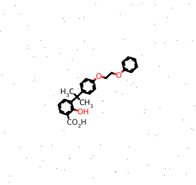 CC(C)(c1ccc(OCCOc2ccccc2)cc1)c1cccc(C(=O)O)c1O